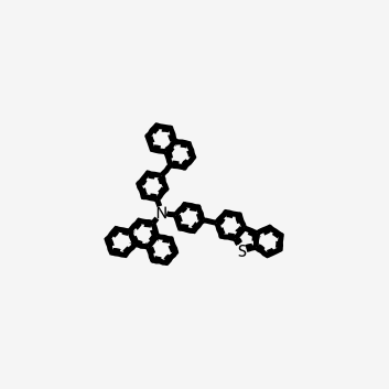 c1cc(-c2cccc3ccccc23)cc(N(c2ccc(-c3ccc4c(c3)sc3ccccc34)cc2)c2cc3ccccc3c3ccccc23)c1